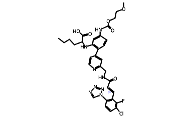 CCCCC(Nc1cc(NC(=O)OCCOC)ccc1-c1ccnc(CNC(=O)/C=C/c2c(-n3cnnn3)ccc(Cl)c2F)c1)C(=O)O